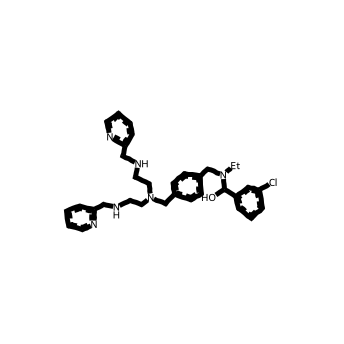 CCN(Cc1ccc(CN(CCNCc2ccccn2)CCNCc2ccccn2)cc1)C(O)c1cccc(Cl)c1